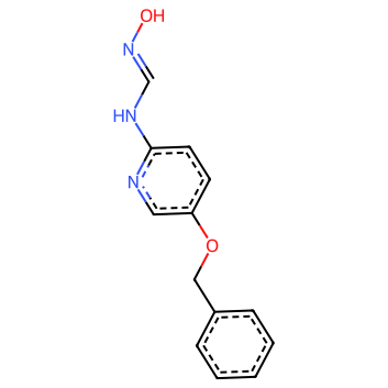 ON=CNc1ccc(OCc2ccccc2)cn1